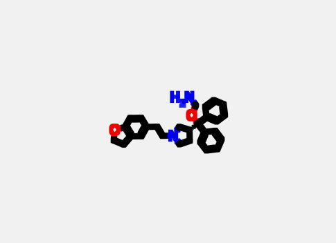 NCOC(c1ccccc1)(c1ccccc1)[C@@H]1CCN(CCc2ccc3c(c2)CCO3)C1